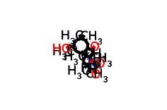 CC1(C)CCC2C(=O)C=C3[C@@]4(C)[C@H]5O[C@@]5(C#N)C(=O)C(C)(C)[C@@H]4CC[C@@]3(C)[C@]2(C)CC[C@@](C)(CO)CC1